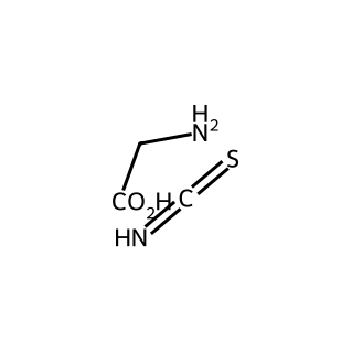 N=C=S.NCC(=O)O